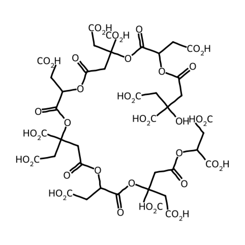 O=C(O)CC(OC(=O)CC(CC(=O)O)(OC(=O)C(CC(=O)O)OC(=O)CC(CC(=O)O)(OC(=O)C(CC(=O)O)OC(=O)CC(CC(=O)O)(OC(=O)C(CC(=O)O)OC(=O)CC(O)(CC(=O)O)C(=O)O)C(=O)O)C(=O)O)C(=O)O)C(=O)O